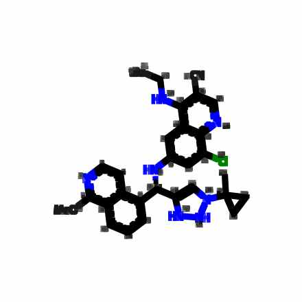 COc1nccc2c([C@H](Nc3cc(Cl)c4ncc(C#N)c(NCC(C)(C)C)c4c3)C3=CN(C4(C)CC4)NN3)cccc12